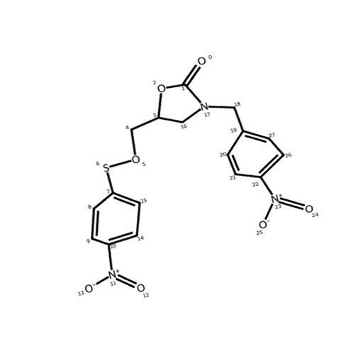 O=C1OC(COSc2ccc([N+](=O)[O-])cc2)CN1Cc1ccc([N+](=O)[O-])cc1